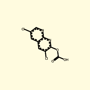 O=C(O)Oc1nc2ncc(Cl)cc2cc1Cl